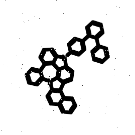 c1ccc(-c2ccccc2-c2ccc(-n3c4cccc5c6ccccc6n6c7ccc8ccccc8c7c7ccc3c(c54)c76)cc2)cc1